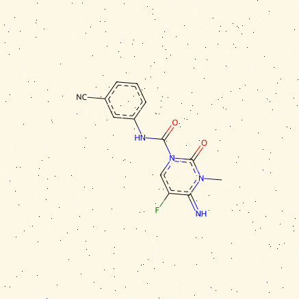 Cn1c(=N)c(F)cn(C(=O)Nc2cccc(C#N)c2)c1=O